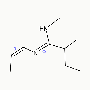 C/C=C\N=C(/NC)C(C)CC